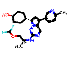 Cc1ccc(-c2cc([C@H]3CC[C@H](O)CC3)n3nc(N[C@@H](C)COC(F)F)ncc23)cn1